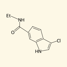 CCNC(=O)c1ccc2c(Cl)c[nH]c2c1